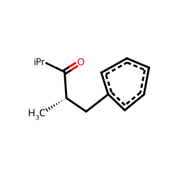 CC(C)C(=O)[C@@H](C)Cc1ccccc1